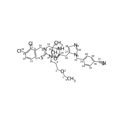 CCOCCCNC(=S)N(Cc1cccc(Cl)c1Cl)CC(C)(C)NC(=O)Cc1cncn1Cc1ccc(C#N)cc1